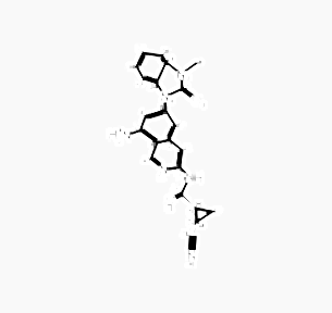 Cn1c(=O)n(-c2cc(N)c3cnc(NC(=O)[C@H]4C[C@@H]4C#N)cc3c2)c2ccccc21